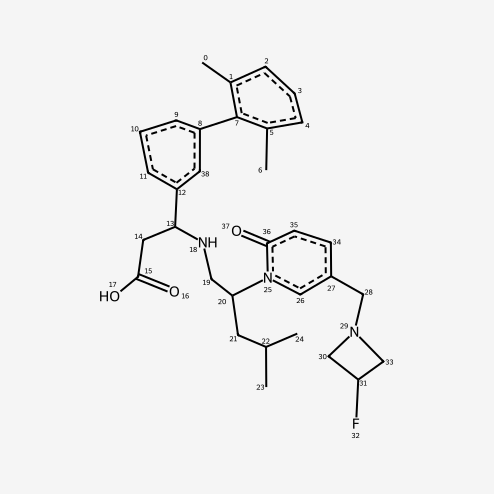 Cc1cccc(C)c1-c1cccc(C(CC(=O)O)NCC(CC(C)C)n2cc(CN3CC(F)C3)ccc2=O)c1